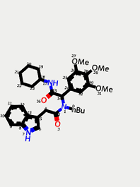 CCCCN(C(=O)Cc1c[nH]c2ccccc12)C(C(=O)NC1CCCCC1)c1cc(OC)c(OC)c(OC)c1